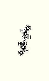 O=C(CCC(=O)Nc1ccc(Nc2ccccc2)cc1)Nc1ccc(Nc2ccccc2)cc1